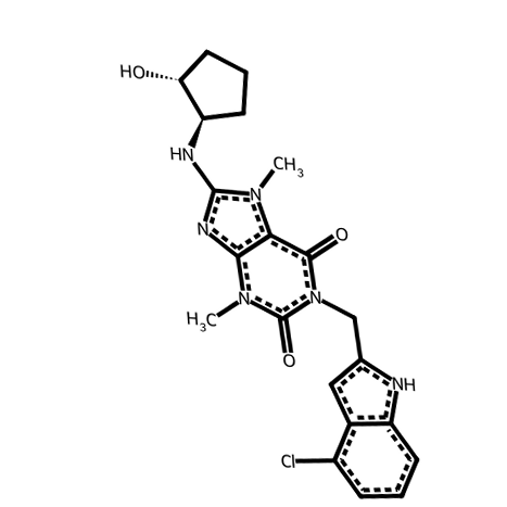 Cn1c(N[C@@H]2CCC[C@H]2O)nc2c1c(=O)n(Cc1cc3c(Cl)cccc3[nH]1)c(=O)n2C